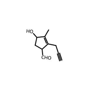 C#CCC1=C(C)C(O)CC1C=O